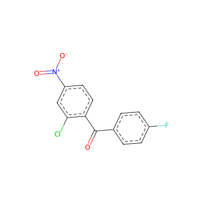 O=C(c1ccc(F)cc1)c1ccc([N+](=O)[O-])cc1Cl